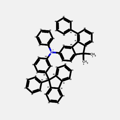 CC1(C)c2ccc(N(c3ccccc3)c3cccc(C4(c5ccccc5)c5ccccc5-c5ccccc54)c3)cc2-c2c(-c3ccccc3)cccc21